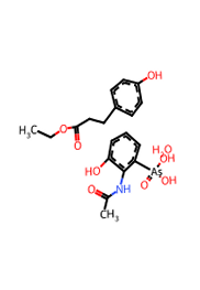 CC(=O)Nc1c(O)cccc1[As](=O)(O)O.CCOC(=O)CCc1ccc(O)cc1.O